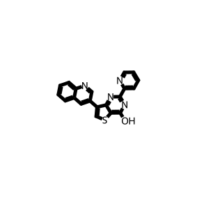 Oc1nc(-c2ccccn2)nc2c(-c3cnc4ccccc4c3)csc12